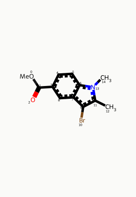 COC(=O)c1ccc2c(c1)c(Br)c(C)n2C